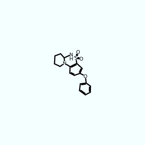 O=S1(=O)NC2CCCCN2c2ccc(Oc3ccccc3)cc21